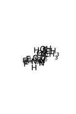 CC(C)(C)N(C(=O)O)c1ccn2ncc(C(=O)NCCC(F)(F)F)c2c1